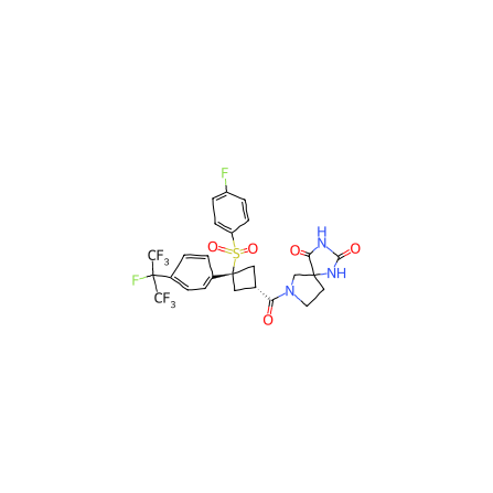 O=C1NC(=O)C2(CCN(C(=O)[C@H]3C[C@@](c4ccc(C(F)(C(F)(F)F)C(F)(F)F)cc4)(S(=O)(=O)c4ccc(F)cc4)C3)C2)N1